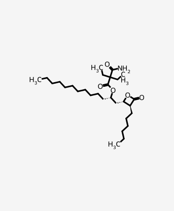 CCCCCCCCCCC[C@@H](C[C@@H]1OC(=O)[C@H]1CCCCCC)OC(=O)C(CC)(CC)C(N)=O